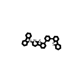 c1cc(-c2cccc3c2sc2ccccc23)cc(-c2cccc3c2sc2nc(-n4c5ccccc5c5ccccc54)ccc23)c1